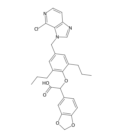 CCCc1cc(Cn2cnc3ccnc(Cl)c32)cc(CCC)c1OC(C(=O)O)c1ccc2c(c1)OCO2